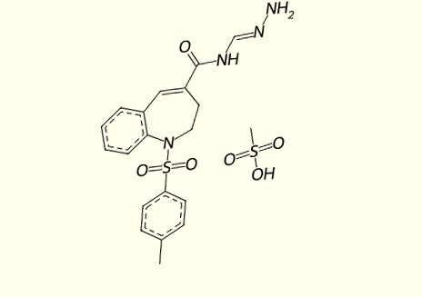 CS(=O)(=O)O.Cc1ccc(S(=O)(=O)N2CCC(C(=O)NC=NN)=Cc3ccccc32)cc1